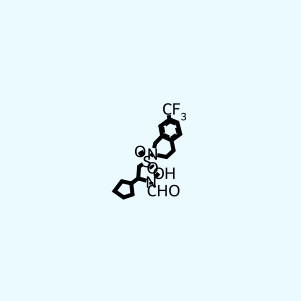 O=CN(O)C(CS(=O)(=O)N1CCc2ccc(C(F)(F)F)cc2C1)C1CCCC1